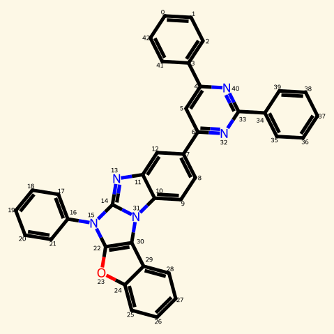 c1ccc(-c2cc(-c3ccc4c(c3)nc3n(-c5ccccc5)c5oc6ccccc6c5n43)nc(-c3ccccc3)n2)cc1